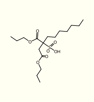 CCCCCCCC(CC(=O)OCCC)(C(=O)OCCC)S(=O)(=O)O